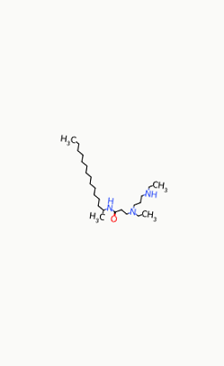 CCCCCCCCCCCCCC(C)NC(=O)CCN(CC)CCCNCC